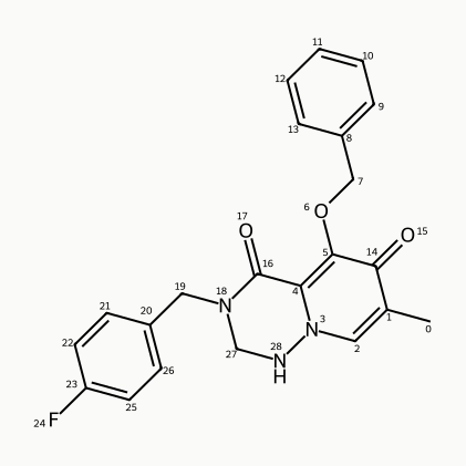 Cc1cn2c(c(OCc3ccccc3)c1=O)C(=O)N(Cc1ccc(F)cc1)CN2